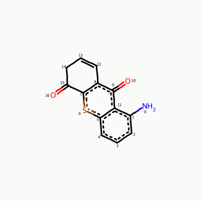 Nc1cccc2sc3c(c(=O)c12)C=CCC3=O